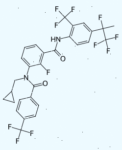 CC(F)(c1ccc(NC(=O)c2cccc(N(CC3CC3)C(=O)c3ccc(C(F)(F)F)cc3)c2F)c(C(F)(F)F)c1)C(F)(F)F